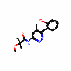 COC(C)(C)C(=O)Nc1cc(C)c(-c2ccccc2O)nn1